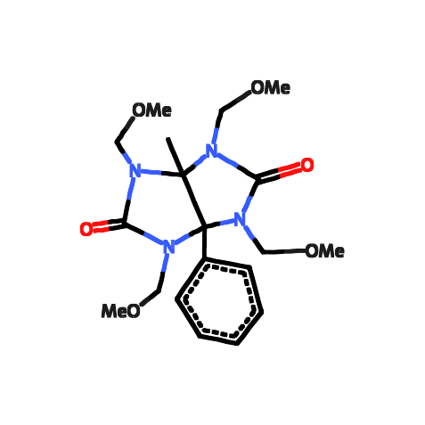 COCN1C(=O)N(COC)C2(c3ccccc3)N(COC)C(=O)N(COC)C12C